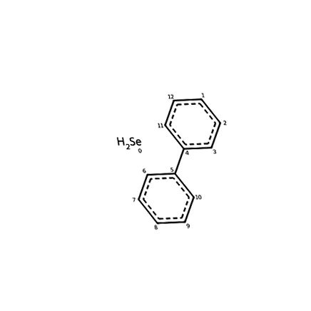 [SeH2].c1ccc(-c2ccccc2)cc1